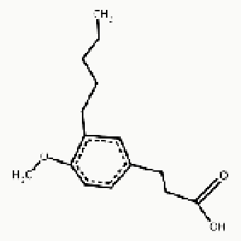 CCCCCc1cc(CCC(=O)O)ccc1OC